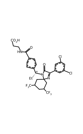 CC[C@H](c1ccc(C(=O)NCCC(=O)O)cc1)N1C(=O)C(c2cc(Cl)cc(Cl)c2)=NC12CC(C(F)(F)F)CC(C(F)(F)F)C2